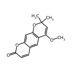 COC1=CC(C)(C)Oc2cc3oc(=O)ccc3cc21